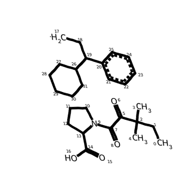 CCC(C)(C)C(=O)C(=O)N1CCCC1C(=O)O.[CH2]CC(c1ccccc1)C1CCCCC1